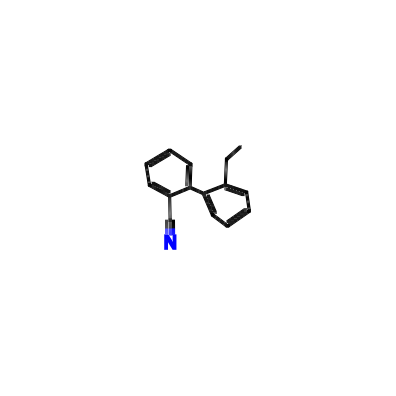 CCc1ccccc1-c1ccccc1C#N